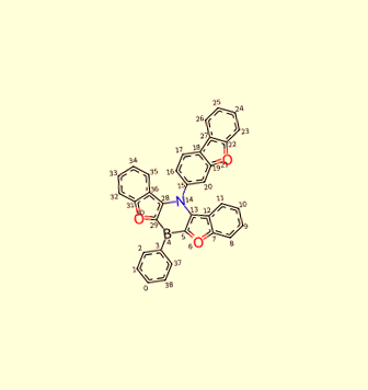 c1ccc(B2c3oc4ccccc4c3N(c3ccc4c(c3)oc3ccccc34)c3c2oc2ccccc32)cc1